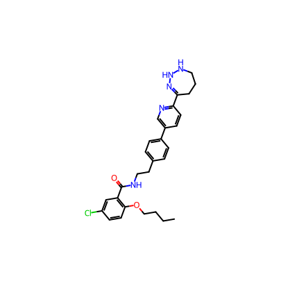 CCCCOc1ccc(Cl)cc1C(=O)NCCc1ccc(-c2ccc(C3=NNNCCC3)nc2)cc1